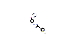 Nc1nc2ccc(C=Cc3cnc(Nc4ccc(C(=O)N5CCNCC5)cc4)nc3)cc2s1